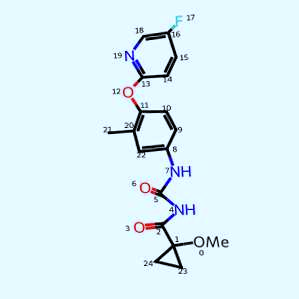 COC1(C(=O)NC(=O)Nc2ccc(Oc3ccc(F)cn3)c(C)c2)CC1